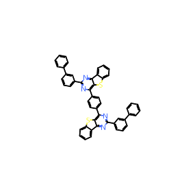 c1ccc(-c2cccc(-c3nc(-c4ccc(-c5nc(-c6cccc(-c7ccccc7)c6)nc6c5sc5ccccc56)cc4)c4sc5ccccc5c4n3)c2)cc1